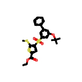 CCOC(=O)c1cc(S(=O)(=O)c2cc(OC(C)(C)C)cc(-c3ccccc3)c2)c(SC)s1